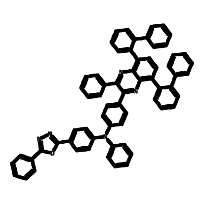 c1ccc(-c2nnc(-c3ccc(N(c4ccccc4)c4ccc(-c5nc6c(-c7ccccc7-c7ccccc7)ccc(-c7ccccc7-c7ccccc7)c6nc5-c5ccccc5)cc4)cc3)o2)cc1